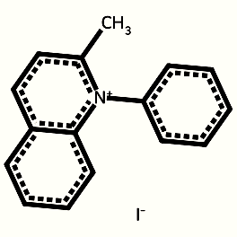 Cc1ccc2ccccc2[n+]1-c1ccccc1.[I-]